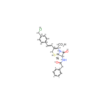 O=C(Cc1ccccc1)NC1C(=O)N2C(C(=O)O)=C(/C=C/c3ccc(CCl)cc3)CS[C@H]12